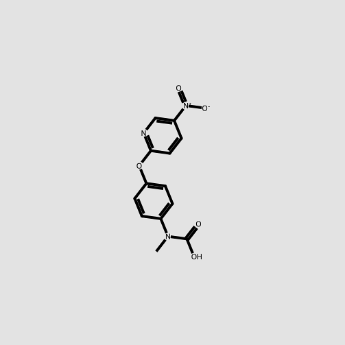 CN(C(=O)O)c1ccc(Oc2ccc([N+](=O)[O-])cn2)cc1